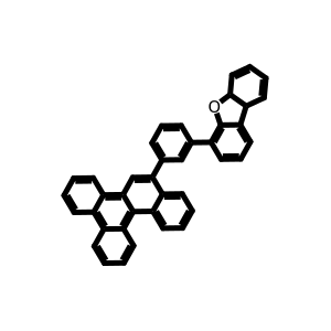 C1=CC2Oc3c(-c4cccc(-c5cc6c7ccccc7c7ccccc7c6c6ccccc56)c4)cccc3C2C=C1